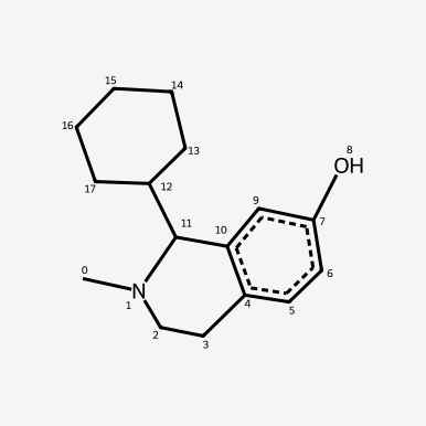 CN1CCc2ccc(O)cc2C1C1CCCCC1